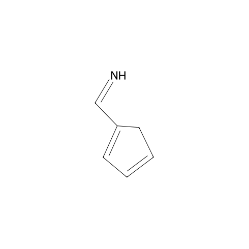 N=CC1=CC=CC1